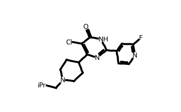 CC(C)CN1CCC(c2nc(-c3ccnc(F)c3)[nH]c(=O)c2Cl)CC1